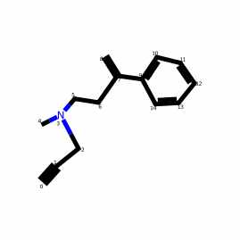 C#CCN(C)CCC(=C)c1ccccc1